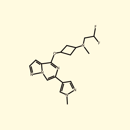 CN(CC(F)F)C1CC(Oc2nc(-c3cnn(C)c3)cn3nccc23)C1